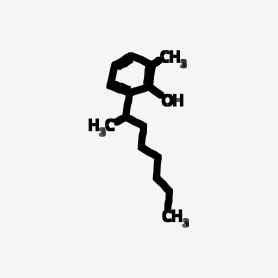 CCCCCCC(C)c1cccc(C)c1O